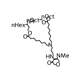 CCCCCCCCC(CCCCCCCC)OC(=O)CCCCCCCN(CCCCCCCC(=O)OCCC(CCC)CCCCCC)CCCNC1=C(NC)COCC1=O